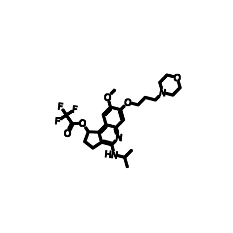 COc1cc2c3c(c(NC(C)C)nc2cc1OCCCN1CCOCC1)CCC3OC(=O)C(F)(F)F